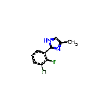 Cc1c[nH]c(-c2cccc(Cl)c2F)n1